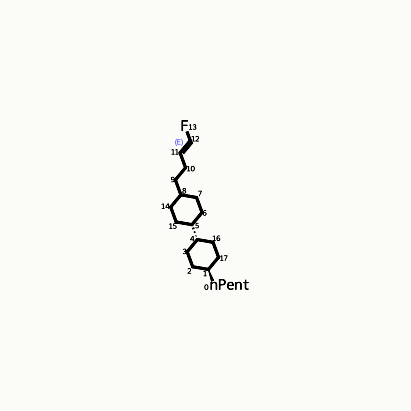 CCCCC[C@H]1CC[C@H](C2CCC(CC/C=C/F)CC2)CC1